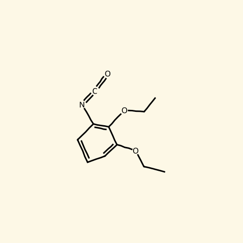 CCOc1cccc(N=C=O)c1OCC